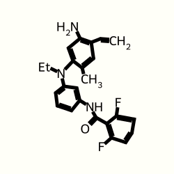 C=Cc1cc(C)c(N(CC)c2cccc(NC(=O)c3c(F)cccc3F)c2)cc1N